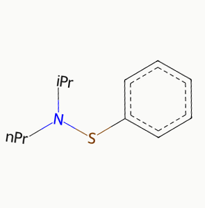 CCCN(Sc1ccccc1)C(C)C